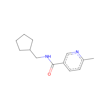 Cc1ccc(C(=O)NCC2CCCC2)cn1